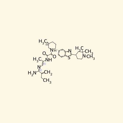 C=C(CC)/C(N)=N\C=C(/C)NC(=O)C(=O)N1C[C@@H](C)CC[C@@H]1c1ccc2sc(C3CCN(C)C(C)(C)C3)nc2c1